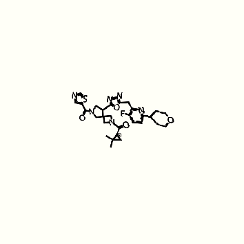 CC1(C)C[C@@H]1C(=O)N1CC2(CN(C(=O)c3cncs3)CC2c2nnc(Cc3nc(C4CCOCC4)ccc3F)o2)C1